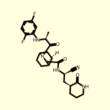 C[C@H](Nc1cc(F)ccc1F)C(=O)N1C2CCC(CC2)[C@@H]1C(=O)N[C@@H](C#N)C[C@@H]1CCCNC1=O